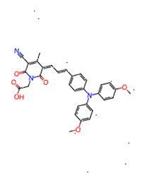 COc1ccc(N(c2ccc(/C=C/C=C3\C(=O)N(CC(=O)O)C(=O)C(C#N)=C3C)cc2)c2ccc(OC)cc2)cc1